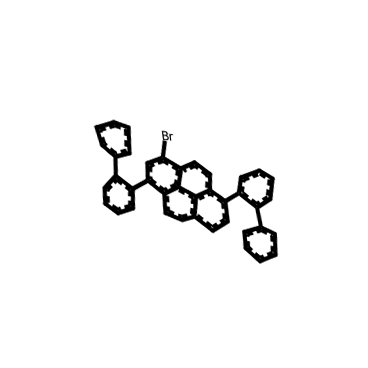 Brc1cc(-c2ccccc2-c2ccccc2)c2ccc3ccc(-c4ccccc4-c4ccccc4)c4ccc1c2c34